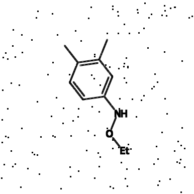 CCONc1ccc(C)c(C)c1